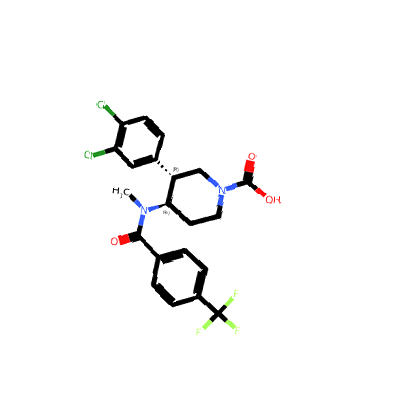 CN(C(=O)c1ccc(C(F)(F)F)cc1)[C@@H]1CCN(C(=O)O)C[C@H]1c1ccc(Cl)c(Cl)c1